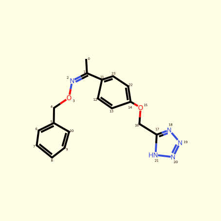 CC(=NOCc1ccccc1)c1ccc(OCc2nnn[nH]2)cc1